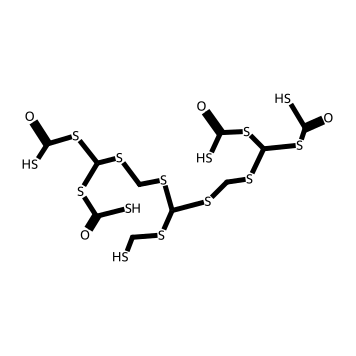 O=C(S)SC(SCSC(SCS)SCSC(SC(=O)S)SC(=O)S)SC(=O)S